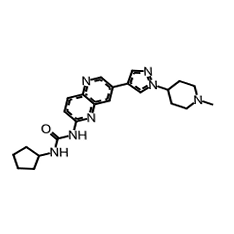 CN1CCC(n2cc(-c3cnc4ccc(NC(=O)NC5CCCC5)nc4c3)cn2)CC1